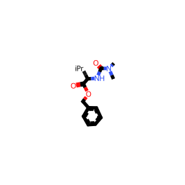 CC(C)C(NC(=O)N(C)C)C(=O)OCc1ccccc1